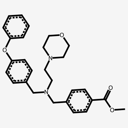 COC(=O)c1ccc(CN(CCN2CCOCC2)Cc2ccc(Oc3ccccc3)cc2)cc1